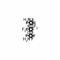 Nc1c(F)c(F)cc(Oc2c(F)cc(C(F)(F)F)c(Oc3cc(F)c(F)c(N)c3F)c2C(F)(F)F)c1F